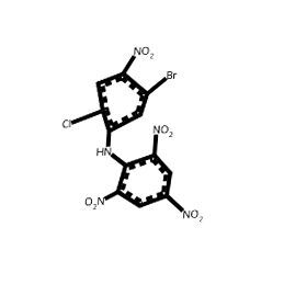 O=[N+]([O-])c1cc([N+](=O)[O-])c(Nc2cc(Br)c([N+](=O)[O-])cc2Cl)c([N+](=O)[O-])c1